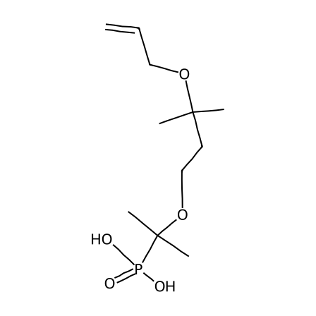 C=CCOC(C)(C)CCOC(C)(C)P(=O)(O)O